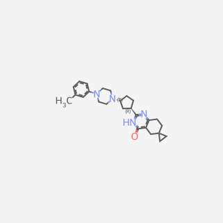 Cc1cccc(N2CCN([C@@H]3CC[C@@H](c4nc5c(c(=O)[nH]4)CC4(CC5)CC4)C3)CC2)c1